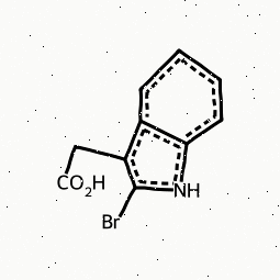 O=C(O)Cc1c(Br)[nH]c2ccccc12